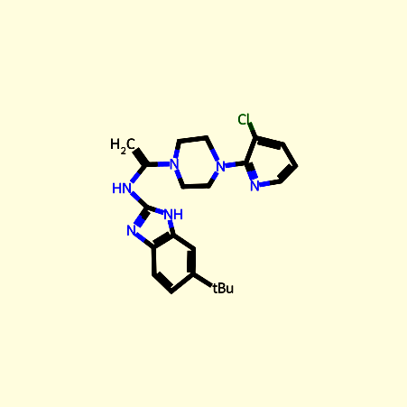 C=C(Nc1nc2ccc(C(C)(C)C)cc2[nH]1)N1CCN(c2ncccc2Cl)CC1